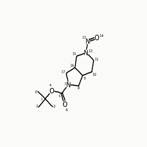 CC(C)(C)OC(=O)N1CC2CCN(N=O)CC2C1